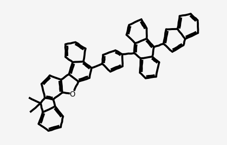 CC1(C)c2ccccc2-c2c1ccc1c2oc2cc(-c3ccc(-c4c5ccccc5c(-c5ccc6ccccc6c5)c5ccccc45)cc3)c3ccccc3c21